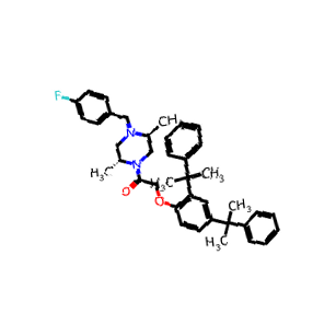 C[C@@H]1CN(Cc2ccc(F)cc2)[C@@H](C)CN1C(=O)COc1ccc(C(C)(C)c2ccccc2)cc1C(C)(C)c1ccccc1